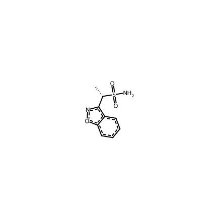 C[C@@H](c1noc2ccccc12)S(N)(=O)=O